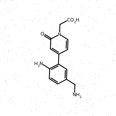 NCc1ccc(N)c(-c2ccn(CC(=O)O)c(=O)c2)c1